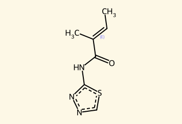 C/C=C(\C)C(=O)Nc1nncs1